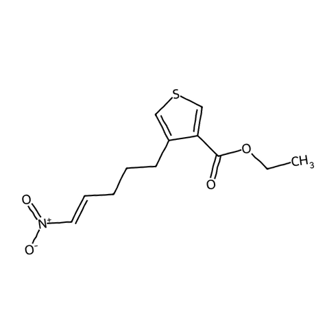 CCOC(=O)c1cscc1CCCC=C[N+](=O)[O-]